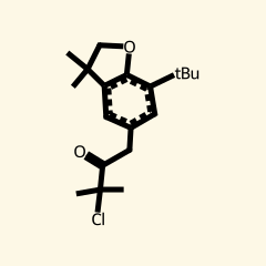 CC(C)(Cl)C(=O)Cc1cc(C(C)(C)C)c2c(c1)C(C)(C)CO2